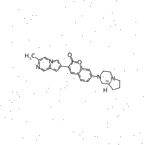 Cc1cn2cc(-c3cc4ccc(N5CCN6CCC[C@H]6C5)cc4oc3=O)cc2cn1